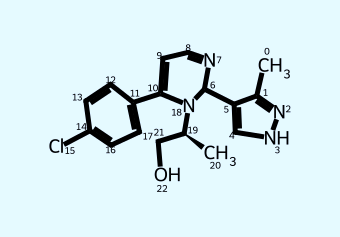 Cc1n[nH]cc1C1N=CC=C(c2ccc(Cl)cc2)N1[C@@H](C)CO